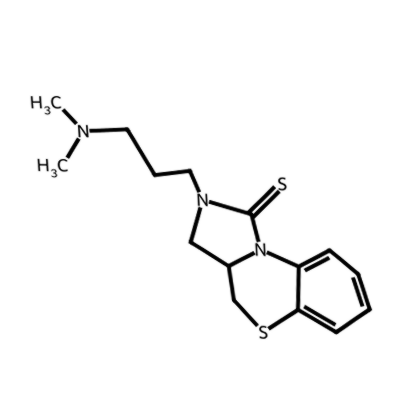 CN(C)CCCN1CC2CSc3ccccc3N2C1=S